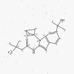 CC(C)(O)c1ccc2nc(NC(=O)CC(C)(C)C(F)(F)F)n(C34CC(C3)C4)c2c1